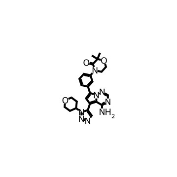 CC1(C)OCCN(c2cccc(-c3cc(-c4cnnn4C4CCOCC4)c4c(N)ncnn34)c2)C1=O